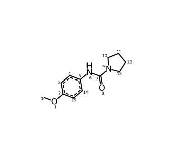 COc1ccc(NC(=O)N2CCCC2)cc1